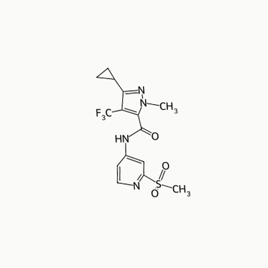 Cn1nc(C2CC2)c(C(F)(F)F)c1C(=O)Nc1ccnc(S(C)(=O)=O)c1